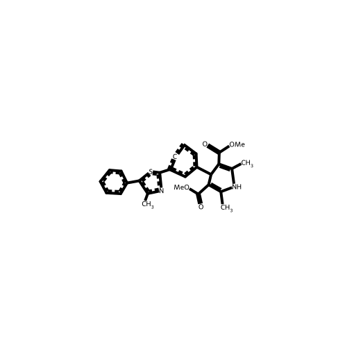 COC(=O)C1=C(C)NC(C)=C(C(=O)OC)C1c1cccc(-c2nc(C)c(-c3ccccc3)s2)c1